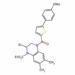 CCOC(=O)N1c2cc(C)c(C)cc2N(C(=O)c2ccc(-c3ccc(OC)cc3)s2)CC1CC